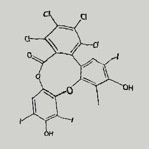 O=c1oc2cc(I)c(O)c(I)c2oc2c(I)c(O)c(I)cc2c2c(Cl)c(Cl)c(Cl)c(Cl)c12